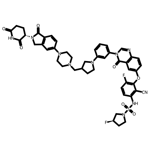 N#Cc1c(NS(=O)(=O)N2CC[C@@H](F)C2)ccc(F)c1Oc1ccc2ncn(-c3cccc(N4CCC(CN5CCN(c6ccc7c(c6)CN([C@H]6CCC(=O)NC6=O)C7=O)CC5)C4)c3)c(=O)c2c1